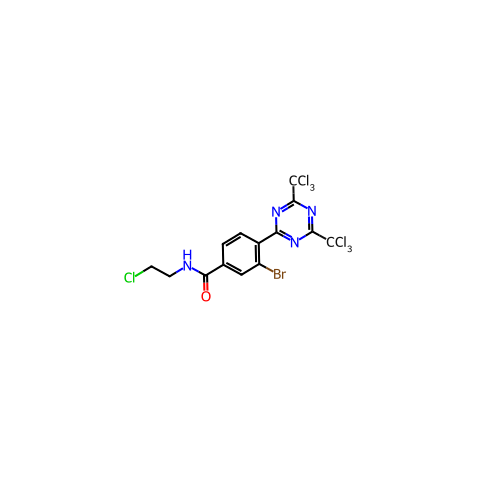 O=C(NCCCl)c1ccc(-c2nc(C(Cl)(Cl)Cl)nc(C(Cl)(Cl)Cl)n2)c(Br)c1